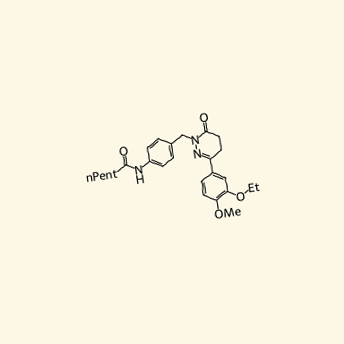 CCCCCC(=O)Nc1ccc(CN2N=C(c3ccc(OC)c(OCC)c3)CCC2=O)cc1